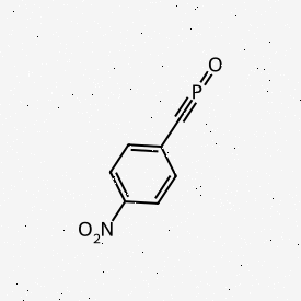 O=P#Cc1ccc([N+](=O)[O-])cc1